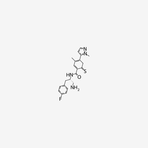 CC1=C(c2ccnn2C)CC(=S)C(C(=O)N[C@H](CN)Cc2ccc(F)cc2)=C1